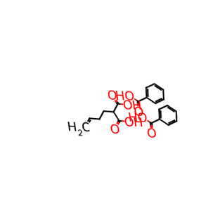 C=CCCC(C(=O)O)C(=O)O.O=C(O)c1ccccc1.O=C(O)c1ccccc1